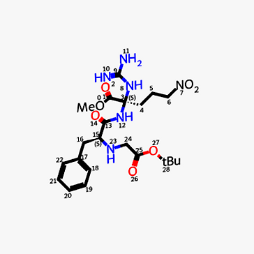 COC(=O)[C@@](CCC[N+](=O)[O-])(NC(=N)N)NC(=O)[C@H](Cc1ccccc1)NCC(=O)OC(C)(C)C